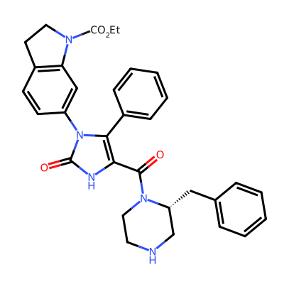 CCOC(=O)N1CCc2ccc(-n3c(-c4ccccc4)c(C(=O)N4CCNC[C@H]4Cc4ccccc4)[nH]c3=O)cc21